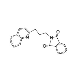 O=C1c2ccccc2C(=O)N1CCCc1ccc2ccccc2n1